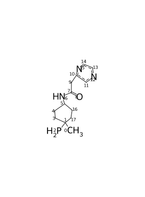 CC1(P)CCC(NC(=O)Cc2cnccn2)CC1